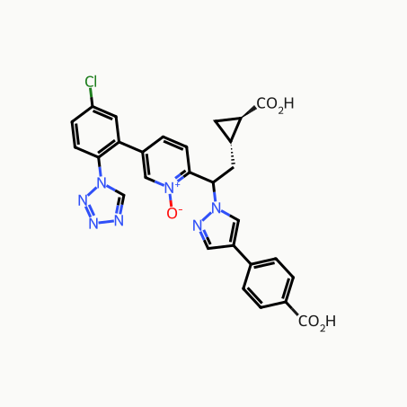 O=C(O)c1ccc(-c2cnn(C(C[C@@H]3C[C@H]3C(=O)O)c3ccc(-c4cc(Cl)ccc4-n4cnnn4)c[n+]3[O-])c2)cc1